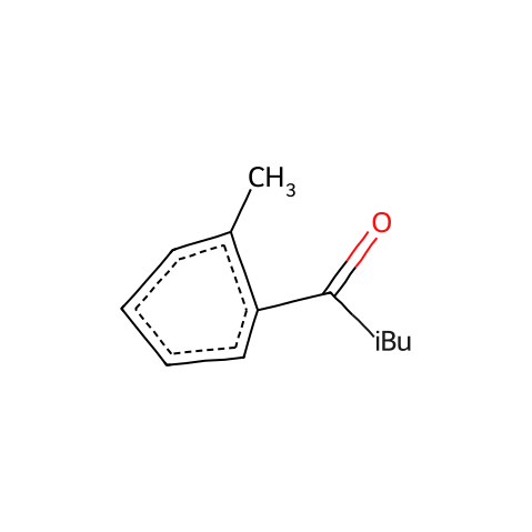 CCC(C)C(=O)c1ccccc1C